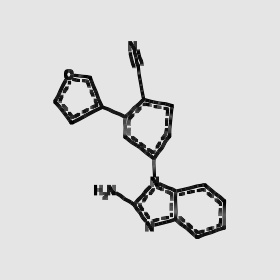 N#Cc1ccc(-n2c(N)nc3ccccc32)cc1-c1ccoc1